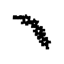 COc1ccc(N2C=CN(c3ccc(S(=O)(=O)N4CCN(C)CC4)cc3)C2)cc1